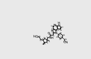 C=C1CC(C)(CNC(=O)Cc2nc3cnc4[nH]ccc4c3n2[C@H]2CC[C@H](CC#N)CC2)CC1CCO